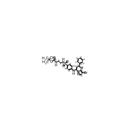 CC(C)(C)OC(=O)NCCNS(=O)(=O)c1ccc(Nc2cc(-c3ccccc3)nc3c(Br)cnn23)cc1